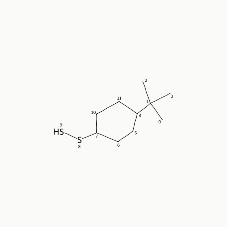 CC(C)(C)C1CCC(SS)CC1